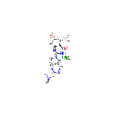 COc1cc(C2CC2)c2c(=O)[nH]c(N3CCc4nc(CN(C)C)ncc4C3)nc2c1.Cl.Cl